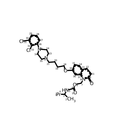 CC(C)C(C)NC(=O)OCn1c(=O)ccc2ccc(OCCCCN3CCN(c4cccc(Cl)c4Cl)CC3)cc21